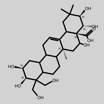 CC1(C)CC2C3=CCC4C5C[C@H](O)[C@H](O)C(CO)(CO)C5CCC4[C@]3(C)CC(O)[C@@]2(C(=O)O)[C@@H](O)[C@@H]1O